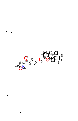 CC(C)(C)[Si](C)(C)OCCOCCCC(=O)c1ccon1